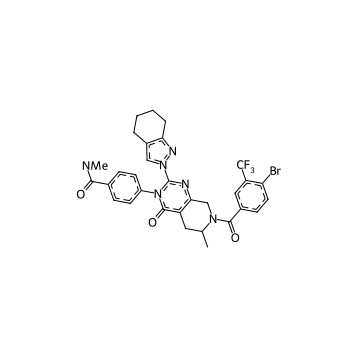 CNC(=O)c1ccc(-n2c(-n3cc4c(n3)CCCC4)nc3c(c2=O)CC(C)N(C(=O)c2ccc(Br)c(C(F)(F)F)c2)C3)cc1